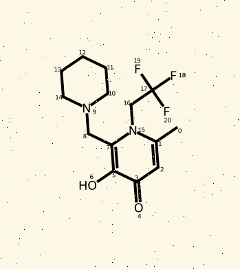 Cc1cc(=O)c(O)c(CN2CCCCC2)n1CC(F)(F)F